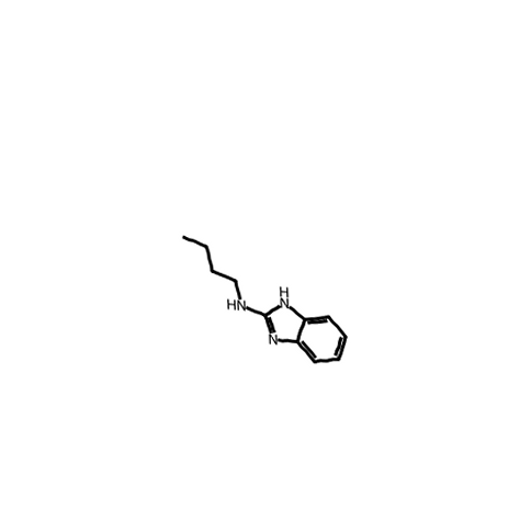 CCCCNc1nc2ccccc2[nH]1